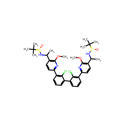 COc1nc(-c2cccc(-c3cccc(-c4ccc(C(C)N[S@+]([O-])C(C)(C)C)c(OC)n4)c3Cl)c2Cl)ccc1C(C)N[S@+]([O-])C(C)(C)C